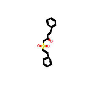 O=C(C=Cc1ccccc1)CS(=O)(=O)C=Cc1ccccc1